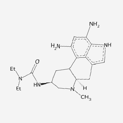 CCN(CC)C(=O)N[C@H]1CC2c3c(N)cc(N)c4[nH]cc(c34)C[C@H]2N(C)C1